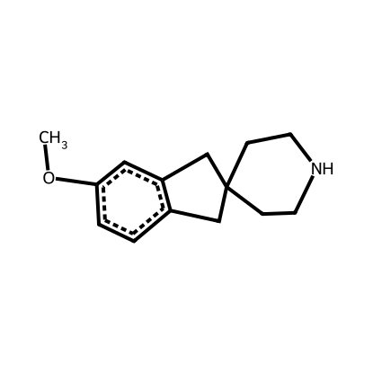 COc1ccc2c(c1)CC1(CCNCC1)C2